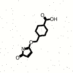 O=C1C=CC(OCC2CCC(C(=O)O)CC2)=N1